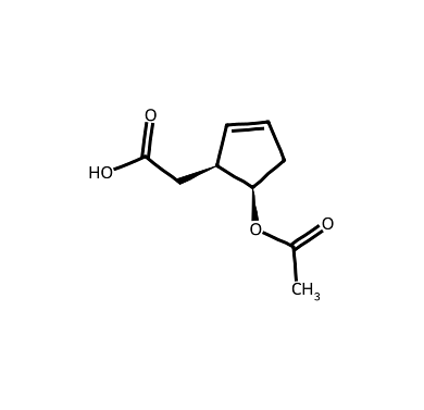 CC(=O)O[C@@H]1CC=C[C@@H]1CC(=O)O